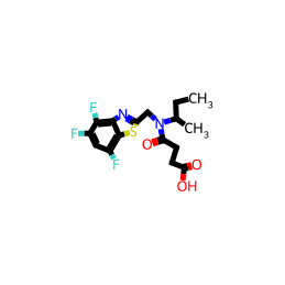 CCC(C)N(Cc1nc2c(F)c(F)cc(F)c2s1)C(=O)CCC(=O)O